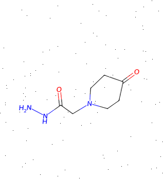 NNC(=O)CN1CCC(=O)CC1